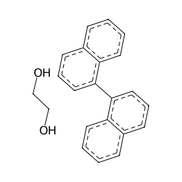 OCCO.c1ccc2c(-c3cccc4ccccc34)cccc2c1